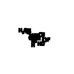 Cn1cc(-c2ccc3[nH]nc(-c4nc5c(-c6cc(O)cc(F)c6)nccc5[nH]4)c3n2)cn1